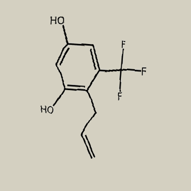 C=CCc1c(O)cc(O)cc1C(F)(F)F